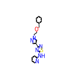 c1ccc(COCCn2cc(-c3nsc(Nc4ccccn4)n3)cn2)cc1